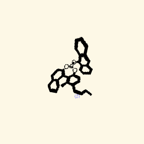 CC/C=C\c1ccc2op(Oc3c4ccccc4cc4ccccc34)oc3ccc4ccccc4c3c2c1C